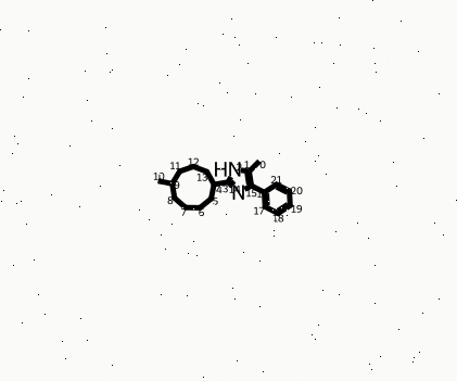 Cc1[nH]c(C2CCCCC(C)CCC2)nc1-c1ccccc1